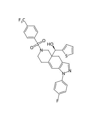 O=S(=O)(c1ccc(C(F)(F)F)cc1)N1CCC2=Cc3c(cnn3-c3ccc(F)cc3)CC2([C@@H](O)c2cccs2)C1